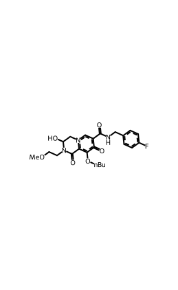 CCCCOc1c2n(cc(C(=O)NCc3ccc(F)cc3)c1=O)CC(O)N(CCOC)C2=O